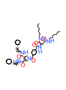 CCCCCCNC(=O)C[C@@H](NC(=O)c1ccc(C(=O)N2C[C@@H](C(=O)N[C@H]3C[C@@H]3c3ccccc3)[C@H](C(=O)N[C@H]3C[C@@H]3c3ccccc3)C2)cc1)C(=O)NCCCCCC